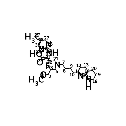 COCC(F)CN(CCCCc1ccc2c(n1)NCCC2)CCC(Nc1ncc(C)cn1)C(=O)O